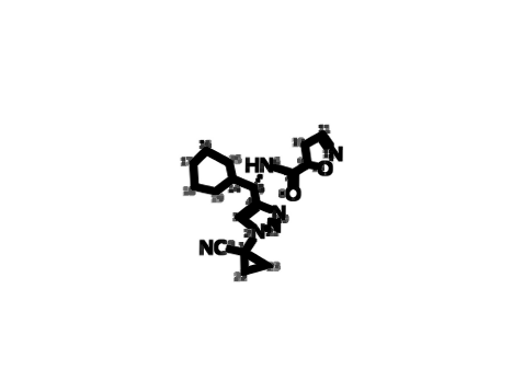 N#CC1(n2cc([C@@H](NC(=O)C3CC=NO3)C3CCCCC3)nn2)CC1